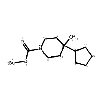 CC(C)(C)OC(=O)N1CCC(C)(C2CCCC2)CC1